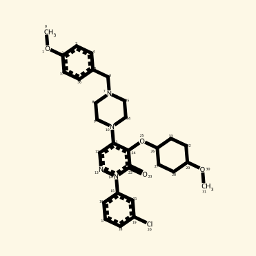 COc1ccc(CN2CCN(c3cnn(-c4cccc(Cl)c4)c(=O)c3OC3CCC(OC)CC3)CC2)cc1